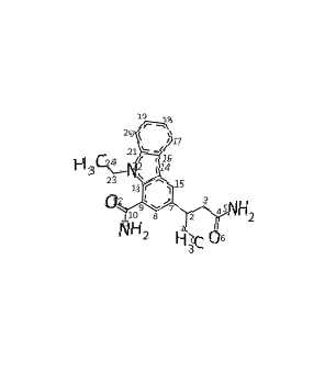 CCC(CC(N)=O)c1cc(C(N)=O)c2c(c1)c1ccccc1n2CC